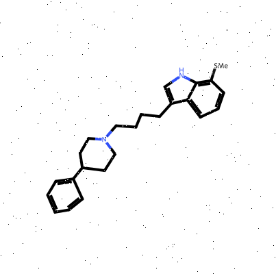 CSc1cccc2c(CCCCN3CCC(c4ccccc4)CC3)c[nH]c12